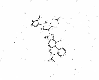 CCc1nocc1C(=O)N[C@H](c1nc2c(F)c(-c3ccccc3C(=O)N(C)C)c(F)cc2[nH]1)C1CCC(C)CC1